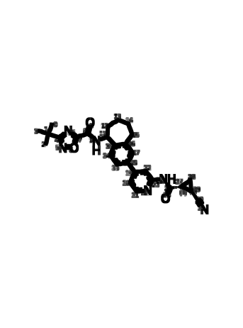 CC(C)(C)c1noc(C(=O)NC2CCCCc3cc(-c4ccnc(NC(=O)[C@@H]5C[C@H]5C#N)c4)ccc32)n1